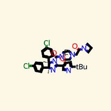 CCOc1cc(C(C)(C)C)ncc1C1=N[C@@](C)(c2ccc(Cl)cc2)[C@@](C)(c2ccc(Cl)cc2)N1C(=O)N1CCN(CC(=O)N2CCC2)CC1